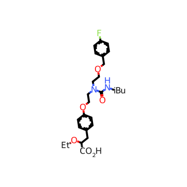 CCOC(Cc1ccc(OCCN(CCOCc2ccc(F)cc2)C(=O)NC(C)CC)cc1)C(=O)O